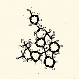 CC1=Nc2ccc(C3(c4ccc5c(c4)C(C)(C(F)(F)F)OC(c4ccc(C)cc4)=N5)c4ccccc4-c4ccccc43)cc2C(C)(C(F)(F)F)O1